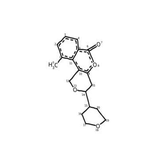 Cc1cccc2c(=O)oc3c(c12)COC(C1CCOCC1)C3